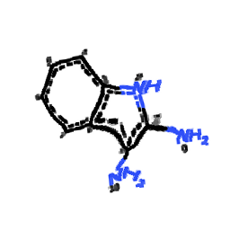 Nc1[nH]c2ccccc2c1N